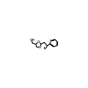 OCC1COC(CC(Br)c2ccccn2)O1